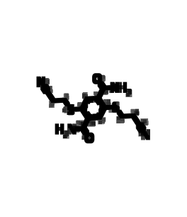 N#CCCSc1cc(C(N)=O)c(SCCC#N)cc1C(N)=O